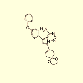 Nc1ncnn2c(C3=CCC4(CC3)OCCO4)cc(-c3ccc(Oc4ccccc4)cc3)c12